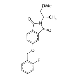 COC[C@H](C)N1C(=O)c2ccc(OCc3ccccc3F)cc2C1=O